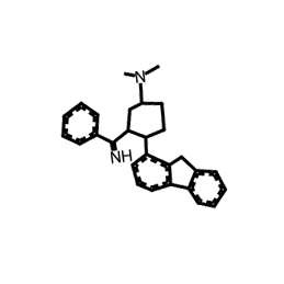 CN(C)C1CCC(c2cccc3c2Cc2ccccc2-3)C(C(=N)c2ccccc2)C1